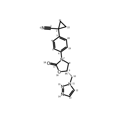 N#CC1(c2ccc(N3C[C@H](Cn4ccnn4)OC3=O)cc2)CC1